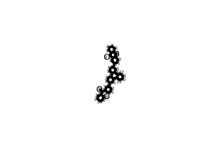 O=c1c2ccccc2oc2ccc(-c3ccc4c5ccc(-c6ccc7oc8ccccc8c(=O)c7c6)cc5c5ccccc5c4c3)cc12